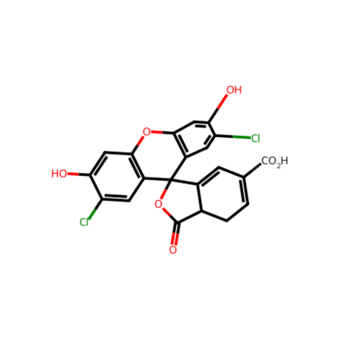 O=C(O)C1=CCC2C(=O)OC3(C2=C1)c1cc(Cl)c(O)cc1Oc1cc(O)c(Cl)cc13